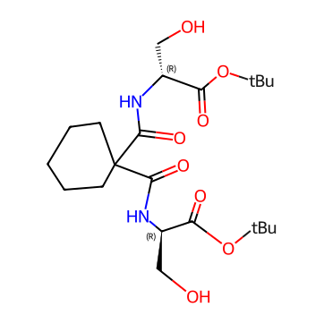 CC(C)(C)OC(=O)[C@@H](CO)NC(=O)C1(C(=O)N[C@H](CO)C(=O)OC(C)(C)C)CCCCC1